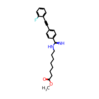 COC(=O)CCCCCCCNC(=N)c1ccc(C#Cc2ccccc2F)cc1